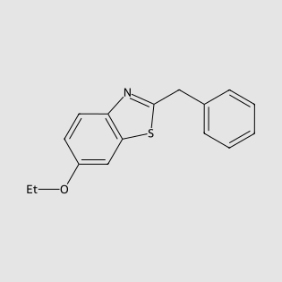 CCOc1ccc2nc(Cc3ccccc3)sc2c1